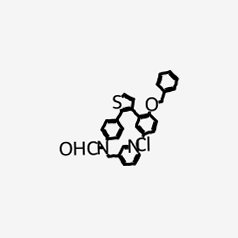 O=CN(Cc1cccnc1)c1ccc(-c2sccc2-c2cc(Cl)ccc2OCc2ccccc2)cc1